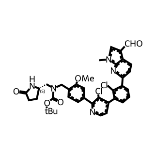 COc1cc(-c2nccc(-c3cccc(-c4ccc5c(C=O)cn(C)c5n4)c3Cl)c2Cl)ccc1CN(C[C@@H]1CCC(=O)N1)C(=O)OC(C)(C)C